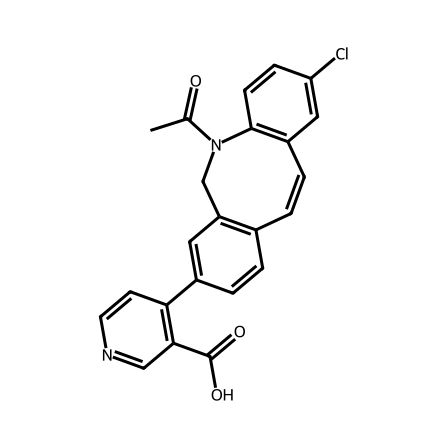 CC(=O)N1Cc2cc(-c3ccncc3C(=O)O)ccc2C=Cc2cc(Cl)ccc21